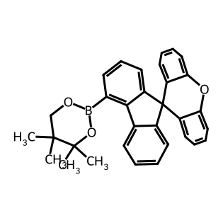 CC1(C)COB(c2cccc3c2-c2ccccc2C32c3ccccc3Oc3ccccc32)OC1(C)C